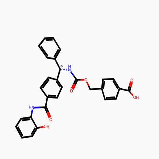 O=C(N[C@@H](c1ccccc1)c1ccc(C(=O)Nc2ccccc2O)cc1)OCc1ccc(C(=O)O)cc1